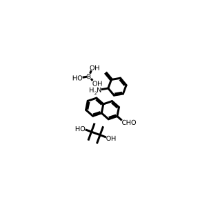 C=C1C=CC=CC1N.CC(C)(O)C(C)(C)O.O=Cc1ccc2ccccc2c1.OB(O)O